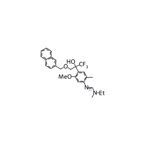 CCN(C)/C=N/c1cc(OC)c(C(O)(COCc2ccc3ccccc3c2)C(F)(F)F)cc1C